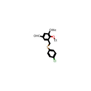 CCOc1c(CSc2ccc(Cl)cc2)cc(C=O)cc1OC